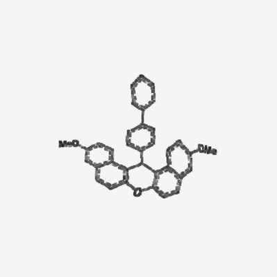 COc1ccc2c3c(ccc2c1)Oc1ccc2cc(OC)ccc2c1C3c1ccc(-c2ccccc2)cc1